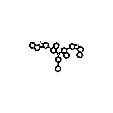 c1ccc(-c2ccc(N(c3ccc(-c4ccc5sc6c7ccccc7ccc6c5c4)c4ccccc34)c3ccc(-c4ccc5sc6ccc7ccccc7c6c5c4)c4ccccc34)cc2)cc1